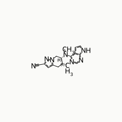 C[C@@H]1Cc2cc(C#N)nn2C[C@@H]1N(C)c1ncnc2[nH]ccc12